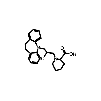 O=C(O)C1CCCCN1CC(O)CN1c2ccccc2CCc2ccccc21